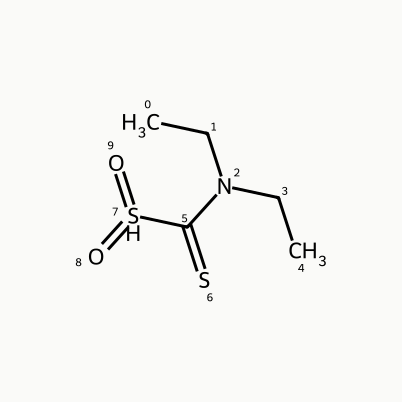 CCN(CC)C(=S)[SH](=O)=O